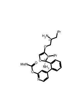 CNC(=O)Oc1cc(-c2ccccc2[C@@]2(N)OC=C(OC[C@@H](N)CC(C)C)N2C(C)C)ccn1